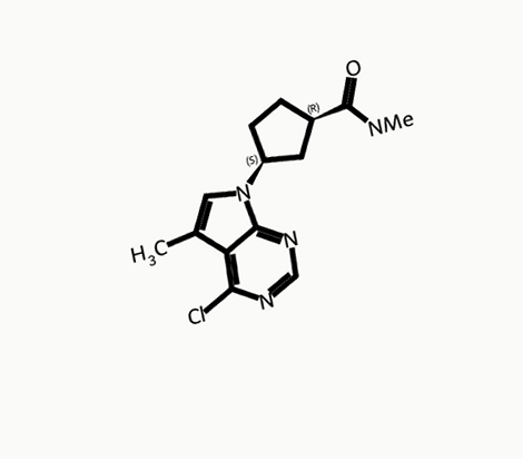 CNC(=O)[C@@H]1CC[C@H](n2cc(C)c3c(Cl)ncnc32)C1